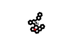 c1ccc(-c2c(-c3c4ccccc4cc4ccccc34)nn3c(-c4ccc5ccccc5c4)cc4ccccc4c23)cc1